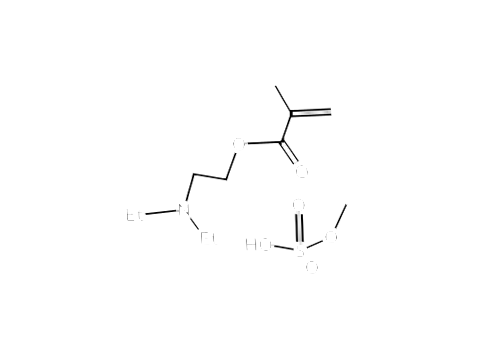 C=C(C)C(=O)OCCN(CC)CC.COS(=O)(=O)O